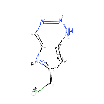 ClCc1cc2[nH]nncc-2n1